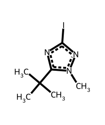 Cn1nc(I)nc1C(C)(C)C